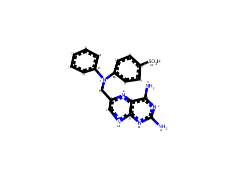 Nc1nc(N)c2nc(CN(c3ccccc3)c3ccc(S(=O)(=O)O)cc3)cnc2n1